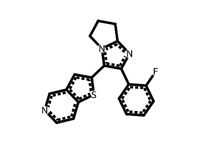 Fc1ccccc1-c1nc2n(c1-c1cc3cnccc3s1)CCC2